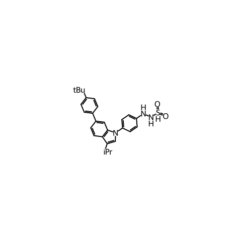 CC(C)c1cn(-c2ccc(NN[SH](=O)=O)cc2)c2cc(-c3ccc(C(C)(C)C)cc3)ccc12